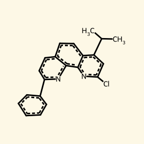 CC(C)c1cc(Cl)nc2c1ccc1ccc(-c3ccccc3)nc12